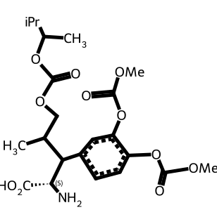 COC(=O)Oc1ccc(C(C(C)COC(=O)OC(C)C(C)C)[C@H](N)C(=O)O)cc1OC(=O)OC